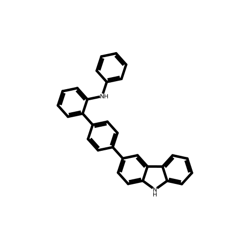 c1ccc(Nc2ccccc2-c2ccc(-c3ccc4[nH]c5ccccc5c4c3)cc2)cc1